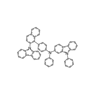 c1ccc(N(c2ccc(-c3c(-n4c5ccccc5c5ccccc54)ccc4ccccc34)cc2)c2ccc3c4ccccc4n(-c4ccccc4)c3c2)cc1